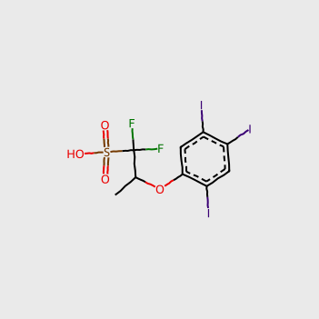 CC(Oc1cc(I)c(I)cc1I)C(F)(F)S(=O)(=O)O